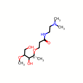 COC(CO)C(O)[C@@H](C)OCCC(=O)NCCN(C)C